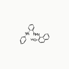 Oc1ccc2ccccc2c1N=Nc1ccccc1N=Nc1ccccc1